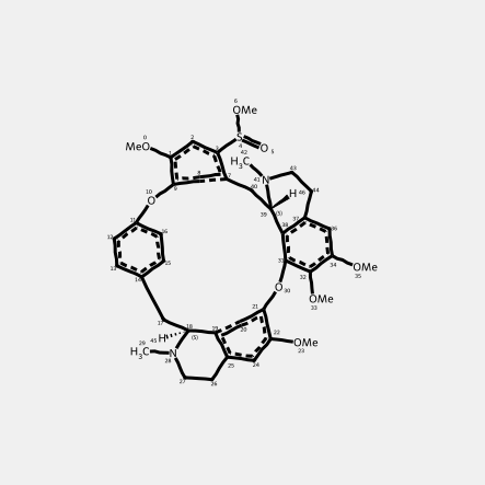 COc1cc(S(=O)OC)c2cc1Oc1ccc(cc1)C[C@H]1c3cc(c(OC)cc3CCN1C)Oc1c(OC)c(OC)cc3c1[C@H](C2)N(C)CC3